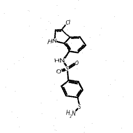 NSc1ccc(S(=O)(=O)Nc2cccc3c(Cl)c[nH]c23)cc1